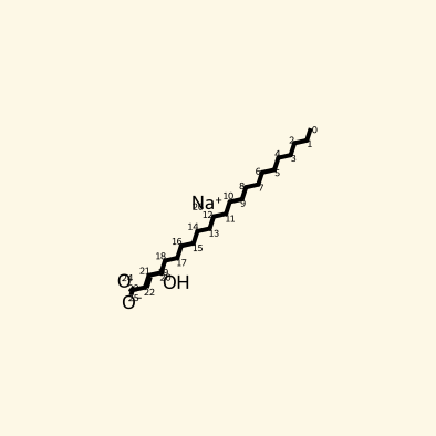 CCCCCCCCCCCCCCCCCCCC(O)C=CC(=O)[O-].[Na+]